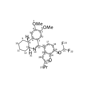 COc1cc2c(cc1OC)[C@H]1CCCC[C@H]1N=C2c1ccc(OC(F)F)c2oc(C(C)C)cc12